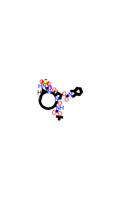 CC(C)(C)OC(=O)N[C@H]1CCCCC/C=C\[C@@H]2C[C@@]2(C(=O)NS(C)(=O)=O)NC(=O)[C@@H]2C[C@@H](OC(=O)N3Cc4ccccc4C3)CN2C1=O